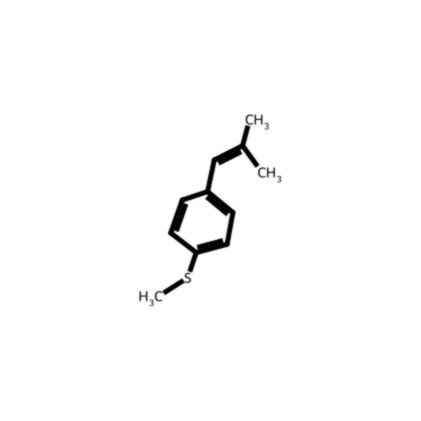 CSc1ccc(C=C(C)C)cc1